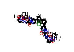 CC(C)(C)OC(=O)N(Cc1cnc2cc(-c3cccc(-c4cccc(-c5ccn6c(=O)c(CN(C[C@@H]7CCC(=O)N7)C(=O)OC(C)(C)C)cnc6c5)c4Cl)c3Cl)ccn2c1=O)C[C@@H]1CCC(=O)N1